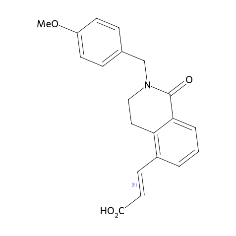 COc1ccc(CN2CCc3c(/C=C/C(=O)O)cccc3C2=O)cc1